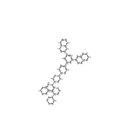 c1ccc(-c2cccc3c(-c4ccc(-c5ccc(-c6cc(-c7ccc8ccccc8c7)nc(-c7ccc8ccccc8c7)n6)cc5)cc4)nc4ccccc4c23)cc1